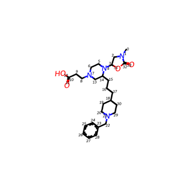 CN1CC(N2CCN(CCC(=O)O)CC2CCCC2CCN(Cc3ccccc3)CC2)OC1=O